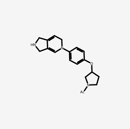 CC(=O)N1CCC(Oc2ccc(N3C=C4CNCC4=CC3)cc2)C1